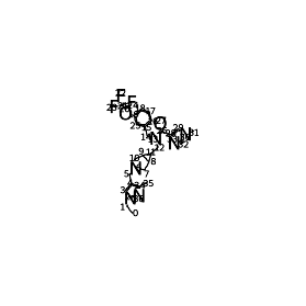 CCn1cc(CN2CC3C(C2)C3CN(Cc2cccc(OC(F)(F)F)c2)C(=O)c2cn(C)cn2)c(C)n1